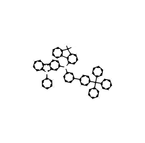 CC1(C)c2ccccc2-c2c(N(c3cccc(-c4ccc(C(c5ccccc5)(c5ccccc5)c5ccccc5)cc4)c3)c3ccc4c5ccccc5n(-c5ccccc5)c4c3)cccc21